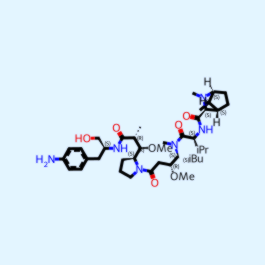 CC[C@H](C)[C@@H]([C@@H](CC(=O)N1CCC[C@H]1[C@H](OC)[C@@H](C)C(=O)N[C@H](CO)Cc1ccc(N)cc1)OC)N(C)C(=O)[C@@H](NC(=O)[C@@H]1[C@H]2CC[C@@H]([C@H]2C)N1C)C(C)C